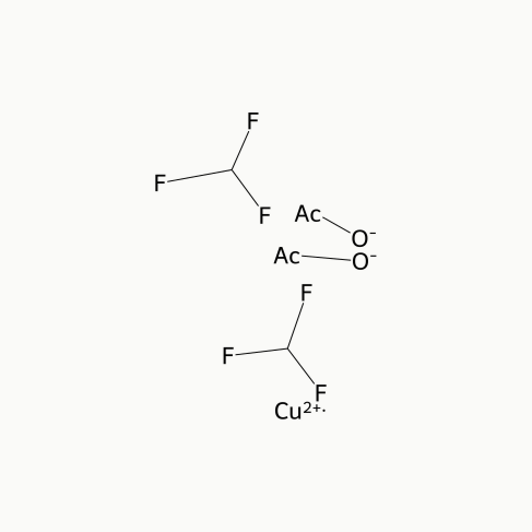 CC(=O)[O-].CC(=O)[O-].FC(F)F.FC(F)F.[Cu+2]